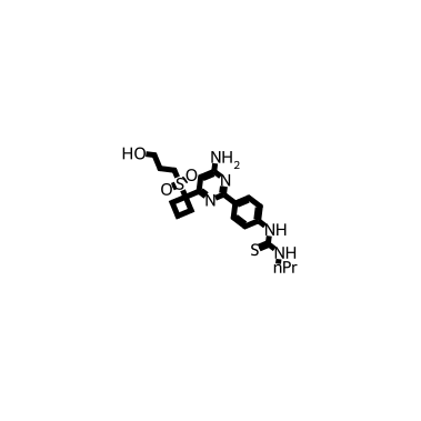 CCCNC(=S)Nc1ccc(-c2nc(N)cc(C3(S(=O)(=O)CCCO)CCC3)n2)cc1